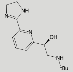 CC(C)(C)NC[C@H](O)c1cccc(C2=NCCN2)n1